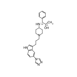 C[C@@H](O)[C@H](NC1CCN(CCCc2c[nH]c3ccc(-n4cnnc4)cc23)CC1)c1ccccc1